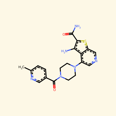 Cc1ccc(C(=O)N2CCN(c3cncc4sc(C(N)=O)c(N)c34)CC2)cn1